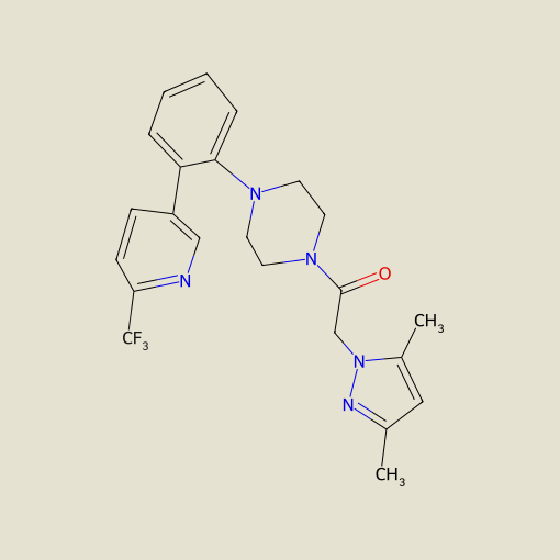 Cc1cc(C)n(CC(=O)N2CCN(c3ccccc3-c3ccc(C(F)(F)F)nc3)CC2)n1